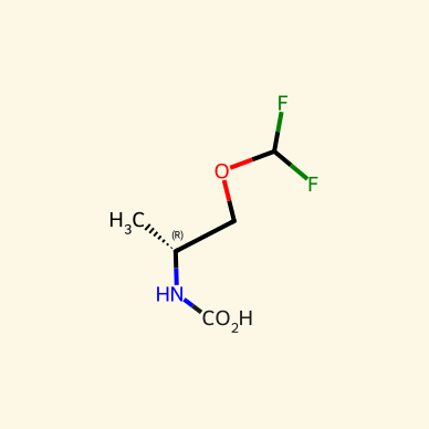 C[C@H](COC(F)F)NC(=O)O